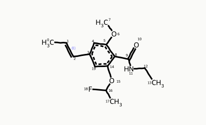 C/C=C/c1cc(OC)c(C(=O)NCC)c(OC(C)F)c1